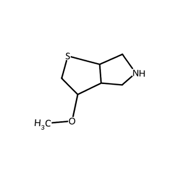 COC1CSC2CNCC12